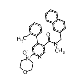 Cc1ccccc1-c1cc([N+]2([O-])CCOCC2)ncc1C(=O)N(C)Cc1ccc2ccccc2c1